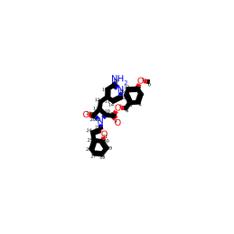 COc1ccc(COC(=O)C2C(Cc3ccnc(N)c3)C(=O)N2c2cc3ccccc3o2)cc1